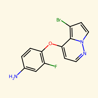 Nc1ccc(Oc2ccnn3ccc(Br)c23)c(F)c1